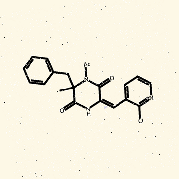 CC(=O)N1C(=O)/C(=C\c2cccnc2Cl)NC(=O)C1(C)Cc1ccccc1